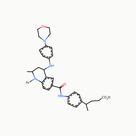 CC(=O)N1c2ccc(C(=O)Nc3ccc(C(C)CCC(=O)O)cc3)cc2C(Nc2ccc(N3CCOCC3)cc2)CC1C